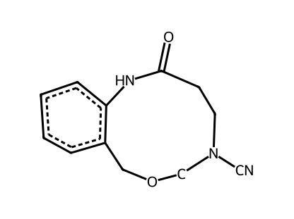 N#CN1CCC(=O)Nc2ccccc2COC1